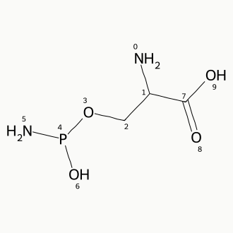 NC(COP(N)O)C(=O)O